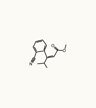 COC(=O)/C=C(\c1ccccc1C#N)C(C)C